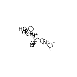 Cc1cc(C)cc(-[n+]2ccc(-c3cc[n+](Cc4ccccc4P(=O)(O)O)cc3)cc2)c1.[Cl-].[Cl-]